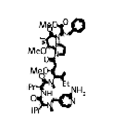 C=C(CC)[C@@H]([C@@H](CC(=O)N1CCC[C@H]1[C@H](OC)[C@@H](C)C(=O)N[C@@H](Cc1ccccc1)C(=O)OC)OC)N(C)C(=O)[C@@H](NC(=O)[C@H](C(C)C)N(C)Cc1ccnc(N)c1)C(C)C